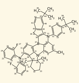 Cc1cc2c3c(c1)N1c4c(ccc(N(c5ccccc5F)c5ccccc5F)c4C4(C)CCCCC14C)B3c1sc3ccc(C(C)(C)C)cc3c1N2c1ccc(C(C)(C)C)cc1